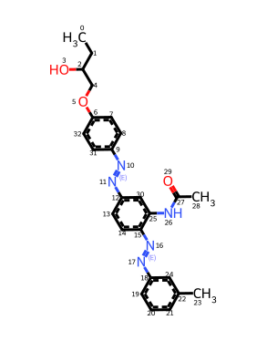 CCC(O)COc1ccc(/N=N/c2ccc(/N=N/c3cccc(C)c3)c(NC(C)=O)c2)cc1